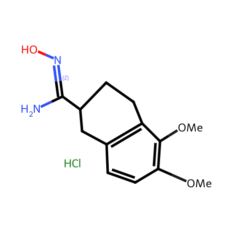 COc1ccc2c(c1OC)CCC(/C(N)=N/O)C2.Cl